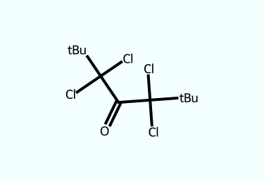 CC(C)(C)C(Cl)(Cl)C(=O)C(Cl)(Cl)C(C)(C)C